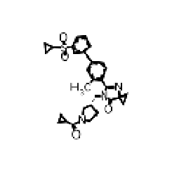 Cc1cc(-c2cccc(S(=O)(=O)C3CC3)c2)ccc1C1=NC2(CC2)C(=O)N1C[C@@H]1CCN(C(=O)C2CC2)C1